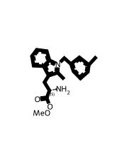 COOC(=O)[C@@H](N)Cc1c(C)n(Cc2cccc(C)c2)c2ccccc12